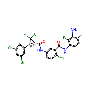 Nc1c(F)ccc(NC(=O)c2cc(NC(=O)[C@@H]3[C@@H](c4cc(Cl)cc(Br)c4)C3(Cl)Cl)ccc2Cl)c1F